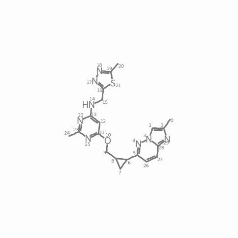 Cc1cn2nc(C3CC3COc3cc(NCc4nnc(C)s4)nc(C)n3)ccc2n1